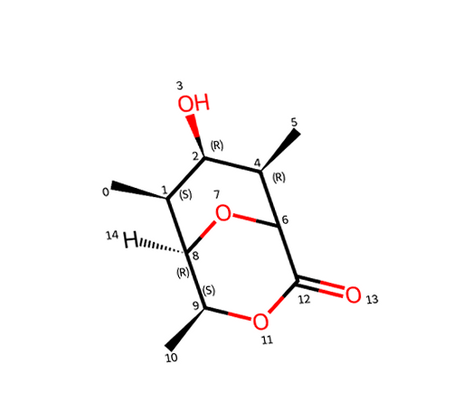 C[C@H]1[C@@H](O)[C@@H](C)C2O[C@H]1[C@H](C)OC2=O